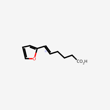 O=C(O)CCC/C=C/c1ccco1